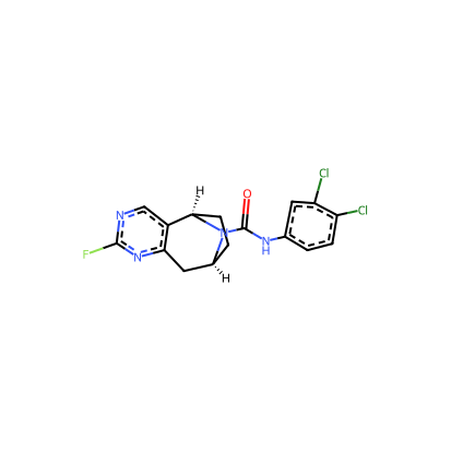 O=C(Nc1ccc(Cl)c(Cl)c1)N1[C@H]2CC[C@@H]1c1cnc(F)nc1C2